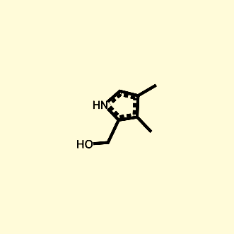 Cc1c[nH]c(CO)c1C